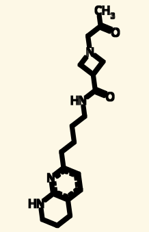 CC(=O)CN1CC(C(=O)NCCCCc2ccc3c(n2)NCCC3)C1